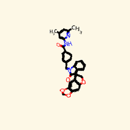 Cc1cc(C)nc(NC(=O)c2ccc(CN3C(=O)C4(COc5cc6c(cc54)OCO6)c4ccccc43)cc2)c1